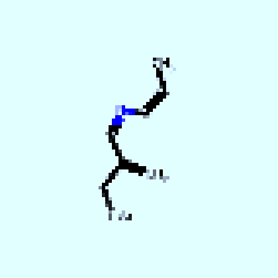 C=C(/C=N\C=C/C)CCCCC